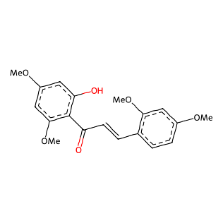 COc1ccc(C=CC(=O)c2c(O)cc(OC)cc2OC)c(OC)c1